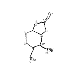 CC(C)(C)C1CCC2OC(=O)CC2C1C(C)(C)C